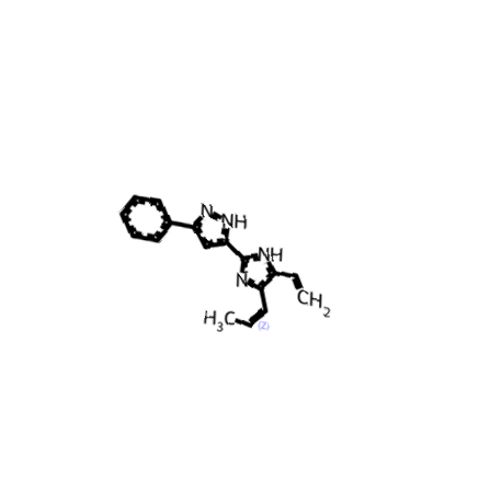 C=Cc1[nH]c(-c2cc(-c3ccccc3)n[nH]2)nc1/C=C\C